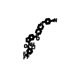 N#Cc1ccc(CN2CCC3(CC2)CCN(C(=O)c2ccc4c(c2)C(NC(=O)c2cc(C(F)(F)F)ccc2Cl)CC4)CC3)cc1